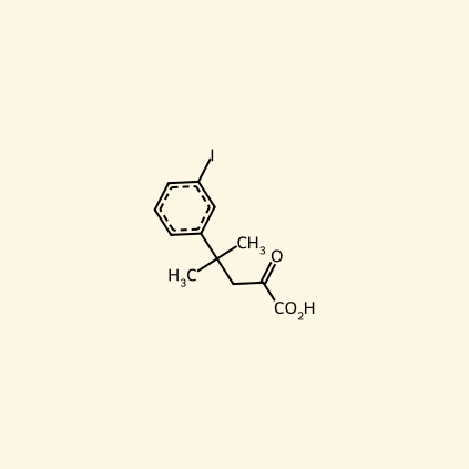 CC(C)(CC(=O)C(=O)O)c1cccc(I)c1